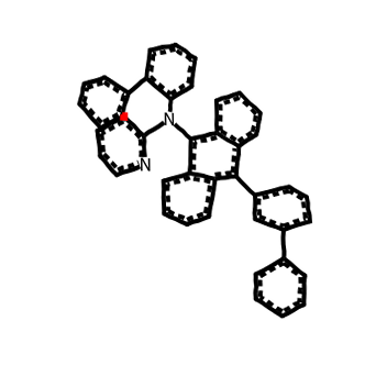 c1ccc(-c2cccc(-c3c4ccccc4c(N(c4ccccn4)c4ccccc4-c4ccccc4)c4ccccc34)c2)cc1